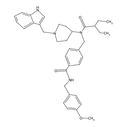 CCC(CC)C(=O)N(Cc1ccc(C(=O)NCc2ccc(OC)cc2)cc1)C1CCN(Cc2c[nH]c3ccccc23)CC1